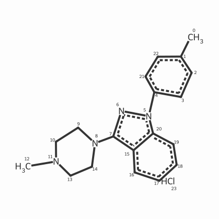 Cc1ccc(-n2nc(N3CCN(C)CC3)c3ccccc32)cc1.Cl